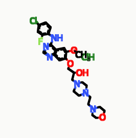 COc1cc2c(Nc3ccc(Cl)cc3F)ncnc2cc1OCC(O)CN1CCN(CCN2CCOCC2)CC1.Cl